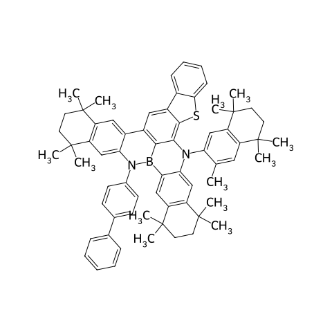 Cc1cc2c(cc1N1c3cc4c(cc3B3c5c(cc6c(sc7ccccc76)c51)-c1cc5c(cc1N3c1ccc(-c3ccccc3)cc1)C(C)(C)CCC5(C)C)C(C)(C)CCC4(C)C)C(C)(C)CCC2(C)C